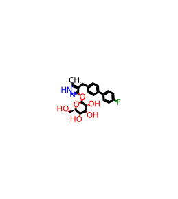 Cc1[nH]nc(OC2O[C@H](CO)[C@@H](O)[C@H](O)[C@H]2O)c1Cc1ccc(-c2ccc(F)cc2)cc1